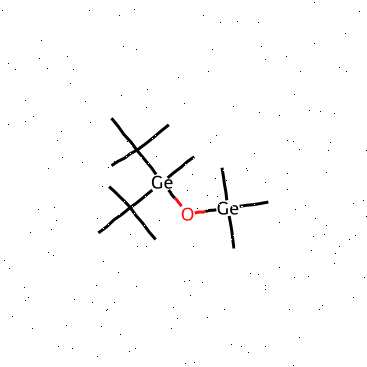 C[C](C)(C)[Ge]([CH3])([O][Ge]([CH3])([CH3])[CH3])[C](C)(C)C